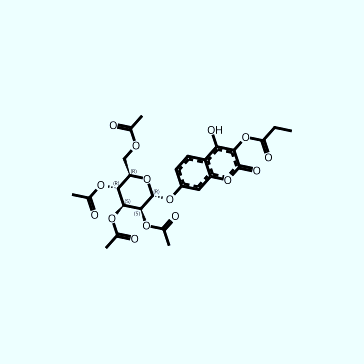 CCC(=O)Oc1c(O)c2ccc(O[C@H]3O[C@H](COC(C)=O)[C@@H](OC(C)=O)[C@H](OC(C)=O)[C@@H]3OC(C)=O)cc2oc1=O